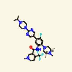 CC(C)N1CCN(c2ncc(-c3cc(NC(=O)C4=CN(C)CC=C4C(F)(F)F)c(N4C[C@@H](C)N(C)[C@@H](C)C4)cc3F)cn2)CC1